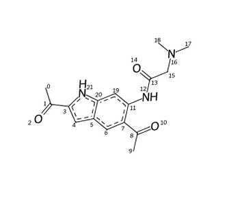 CC(=O)c1cc2cc(C(C)=O)c(NC(=O)CN(C)C)cc2[nH]1